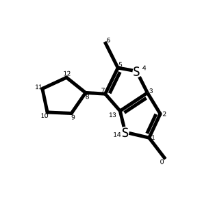 Cc1cc2sc(C)c(C3CCCC3)c2s1